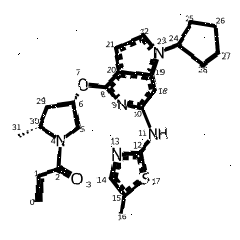 C=CC(=O)N1C[C@@H](Oc2nc(Nc3ncc(C)s3)cc3c2ccn3C2CCCC2)C[C@H]1C